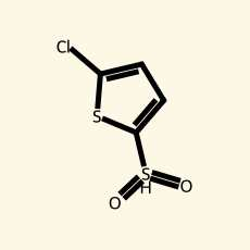 O=[SH](=O)c1ccc(Cl)s1